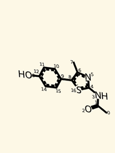 CC(=O)Nc1nc(C)c(-c2ccc(O)cc2)s1